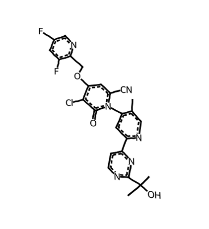 Cc1cnc(-c2ccnc(C(C)(C)O)n2)cc1-n1c(C#N)cc(OCc2ncc(F)cc2F)c(Cl)c1=O